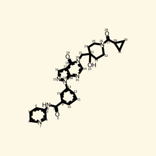 O=C(Nc1cccnc1)c1cccc(-n2ncc3c(=O)n(CC4(O)CCN(C(=O)C5CC5)CC4)cnc32)c1